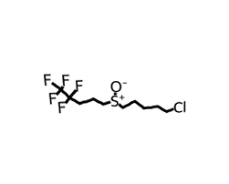 [O-][S+](CCCCCCl)CCCC(F)(F)C(F)(F)F